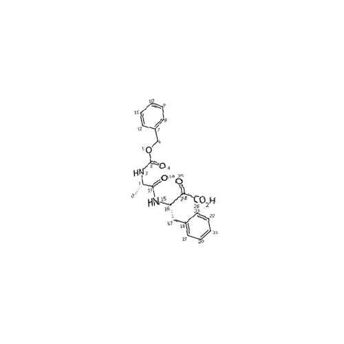 C[C@H](NC(=O)OCc1ccccc1)C(=O)N[C@@H](Cc1ccccc1)C(=O)C(=O)O